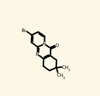 CC1(C)CCc2nc3cc(Br)ccn3c(=O)c2C1